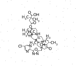 CC(C)C1=C2[C@H]3CC[C@@H]4[C@@]5(C)CC[C@H](OC(=O)CC(C)(C)C(=O)O)C(C)(C)[C@@H]5CC[C@@]4(C)[C@]3(C)CC[C@@]2(Cc2nnc(-c3ncc(Cl)cn3)o2)CC1=O